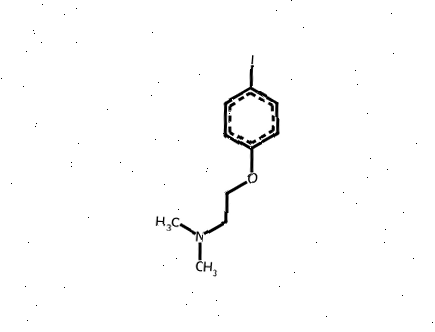 CN(C)CCOc1ccc(I)cc1